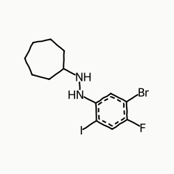 Fc1cc(I)c(NNC2CCCCCC2)cc1Br